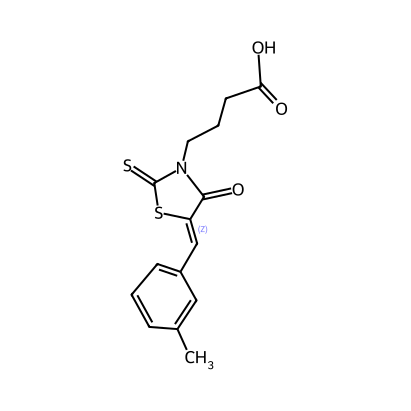 Cc1cccc(/C=C2\SC(=S)N(CCCC(=O)O)C2=O)c1